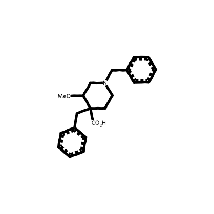 COC1CN(Cc2ccccc2)CCC1(Cc1ccccc1)C(=O)O